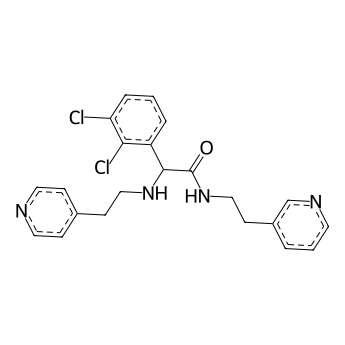 O=C(NCCc1cccnc1)C(NCCc1ccncc1)c1cccc(Cl)c1Cl